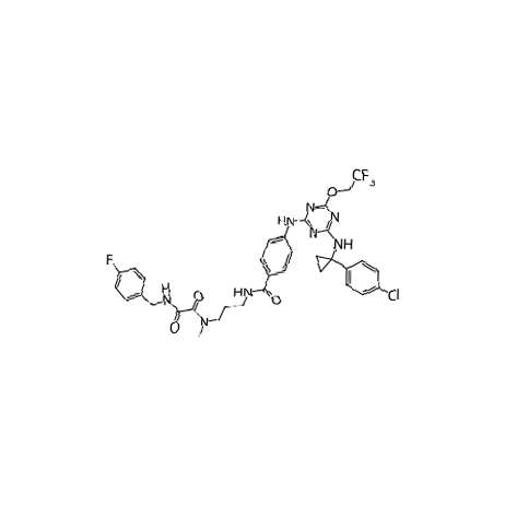 CN(CCCNC(=O)c1ccc(Nc2nc(NC3(c4ccc(Cl)cc4)CC3)nc(OCC(F)(F)F)n2)cc1)C(=O)C(=O)NCc1ccc(F)cc1